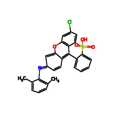 Cc1cccc(C)c1/N=c1\ccc2c(-c3ccccc3S(=O)(=O)O)c3ccc(Cl)cc3oc-2c1